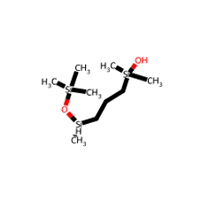 C[SiH](CCC[Si](C)(C)O)O[Si](C)(C)C